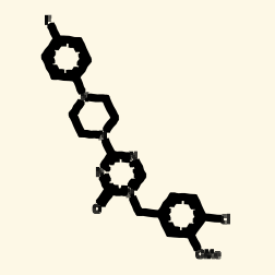 COc1cc(Cn2cnc(N3CCN(c4ccc(F)cc4)CC3)nc2=O)ccc1Cl